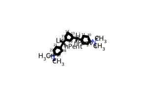 [Li][C](CCCCC)(c1ccc(N(C)C)cc1)c1cccc([C]([Li])(CCCCC)c2ccc(N(C)C)cc2)c1